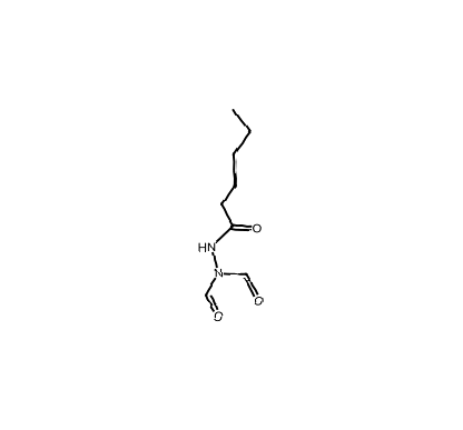 CCCCCC(=O)NN(C=O)C=O